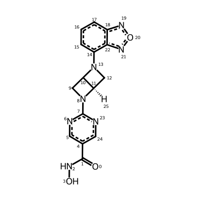 O=C(NO)c1cnc(N2CC3[C@H]2CN3c2cccc3nonc23)nc1